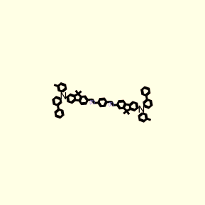 Cc1cccc(N(c2cccc(-c3ccccc3)c2)c2ccc3c(c2)C(C)(C)c2cc(/C=C/c4ccc(/C=C/c5ccc6c(c5)C(C)(C)c5cc(N(c7cccc(C)c7)c7cccc(-c8ccccc8)c7)ccc5-6)cc4)ccc2-3)c1